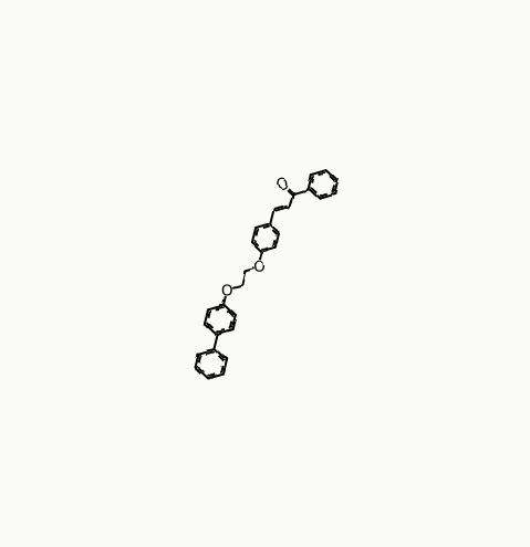 O=C(/C=C/c1ccc(OCCOc2ccc(-c3ccccc3)cc2)cc1)c1ccccc1